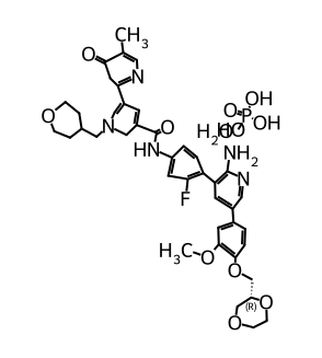 COc1cc(-c2cnc(N)c(-c3ccc(NC(=O)C4=CC(C5=NC=C(C)C(=O)C5)=CN(CC5CCOCC5)C4)cc3F)c2)ccc1OC[C@H]1COCCO1.O.O=P(O)(O)O